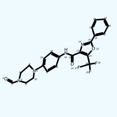 O=CN1CCN(c2ccc(NC(=O)c3nc(-c4ccccc4)oc3C(F)(F)F)cc2)CC1